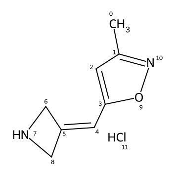 Cc1cc(C=C2CNC2)on1.Cl